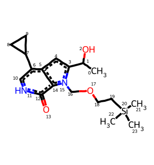 CC(O)c1cc2c(C3CC3)c[nH]c(=O)c2n1COCC[Si](C)(C)C